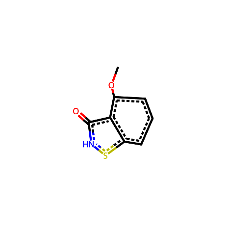 COc1cccc2s[nH]c(=O)c12